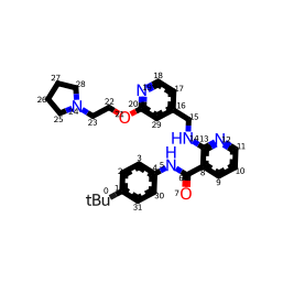 CC(C)(C)c1ccc(NC(=O)c2cccnc2NCc2ccnc(OCCN3CCCC3)c2)cc1